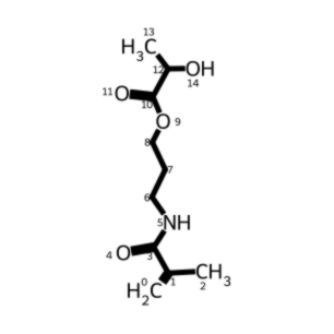 C=C(C)C(=O)NCCCOC(=O)C(C)O